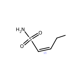 CC/C=C\S(N)(=O)=O